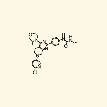 CCNC(=O)Nc1ccc(-c2nc3c(c(N4CCOCC4C)n2)CCN(c2ccc(Cl)nn2)C3)cc1